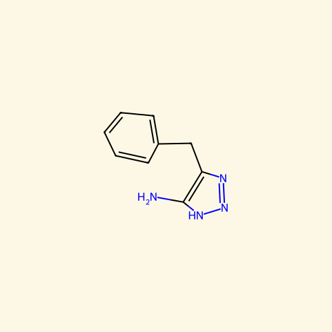 Nc1[nH]nnc1Cc1ccccc1